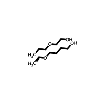 C=COCCCCO.CCCOCCO